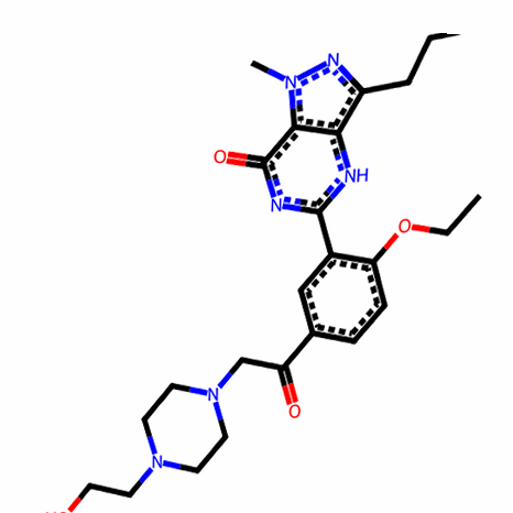 CCCc1nn(C)c2c(=O)nc(-c3cc(C(=O)CN4CCN(CCO)CC4)ccc3OCC)[nH]c12